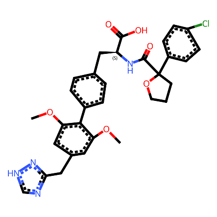 COc1cc(Cc2nc[nH]n2)cc(OC)c1-c1ccc(C[C@H](NC(=O)C2(c3ccc(Cl)cc3)CCCO2)C(=O)O)cc1